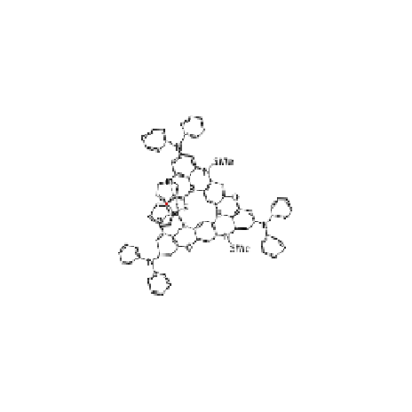 CSN1c2cc3c(cc2B2c4cc5c(cc4Oc4cc(N(c6ccccc6)c6ccccc6)cc1c42)N(SC)c1cc(N(c2ccccc2)c2ccccc2)cc2c1B5c1sc4ccccc4c1O2)B1c2sc4ccccc4c2Oc2cc(N(c4ccccc4)c4ccccc4)cc(c21)O3